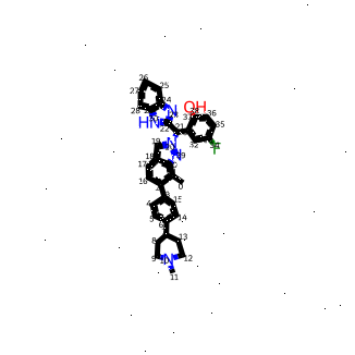 Cc1c(-c2ccc(C3CCN(C)CC3)cc2)ccc2cn(C(c3nc4ccccc4[nH]3)c3cc(F)ccc3O)nc12